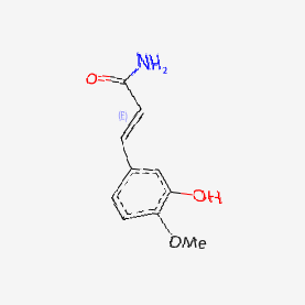 COc1ccc(/C=C/C(N)=O)cc1O